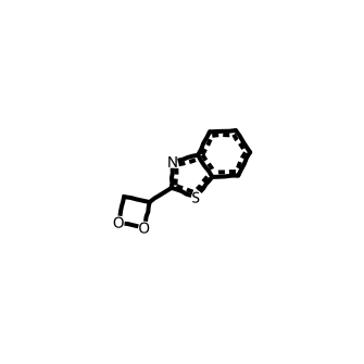 c1ccc2sc(C3COO3)nc2c1